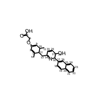 CC1=CC(OCC(=O)O)=CC(C)C1CC1=NC(c2ccc3ccccc3c2)C(O)C=C1